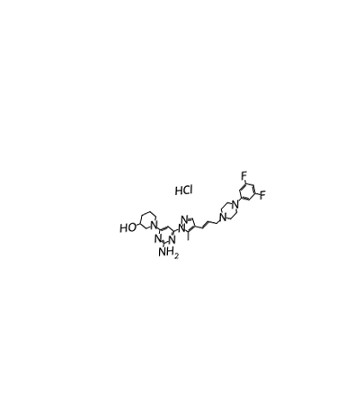 Cc1c(/C=C/CN2CCN(c3cc(F)cc(F)c3)CC2)cnn1-c1cc(N2CCCC(O)C2)nc(N)n1.Cl